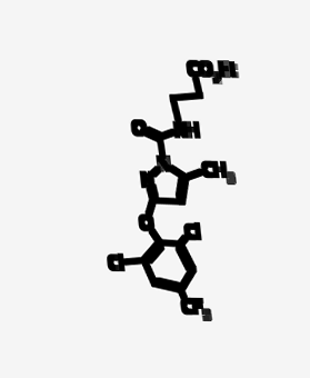 CCOC(=O)CCNC(=O)n1nc(Oc2c(Cl)cc(C(F)(F)F)cc2Cl)cc1C